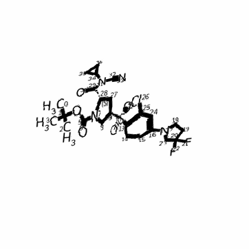 CC(C)(C)OC(=O)N1C[C@H](S(=O)(=O)c2ccc(N3CCC(F)(F)C3)cc2Cl)C[C@H]1C(=O)N(C#N)C1CC1